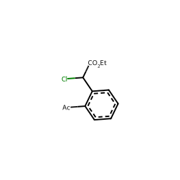 CCOC(=O)C(Cl)c1ccccc1C(C)=O